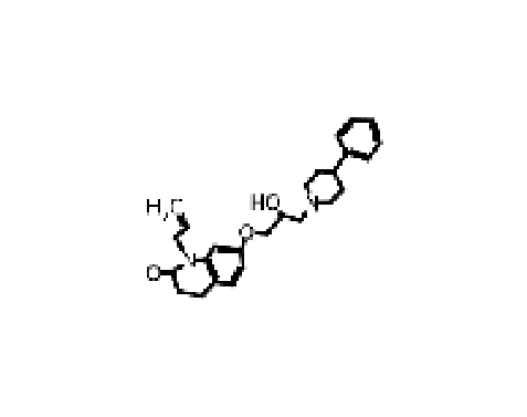 C=CCN1C(=O)CCc2ccc(OCC(O)CN3CCC(c4ccccc4)CC3)cc21